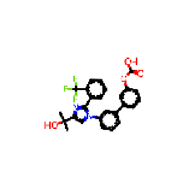 CC(C)(O)c1cn(-c2cccc(-c3cccc(OC(=O)O)c3)c2)c(-c2ccccc2C(F)(F)F)n1